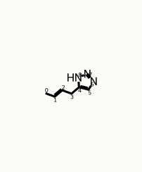 C/C=C/Cc1cnn[nH]1